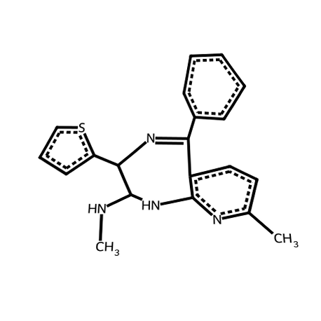 CNC1Nc2nc(C)ccc2C(c2ccccc2)=NC1c1cccs1